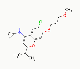 COCCCOC/C=C1/OC(C(C)C)C=C(NC2CC2)/C1=C/CCl